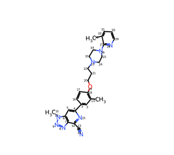 Cc1cc(-c2cc3c(nnn3C)c(C#N)n2)ccc1OCCCN1CCN(c2ncccc2C)CC1